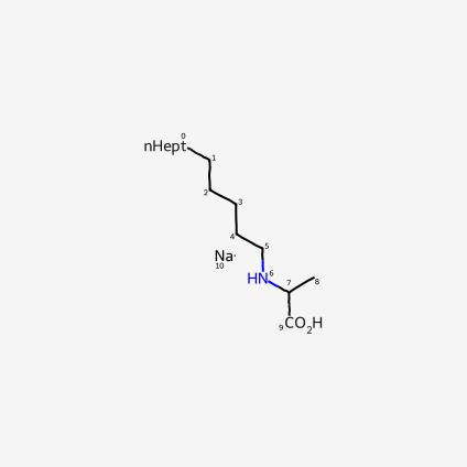 CCCCCCCCCCCCNC(C)C(=O)O.[Na]